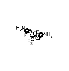 CC(C(=O)C(C)N1CCc2cc(N)cc(F)c21)N1CCc2cc(N)cc(F)c21